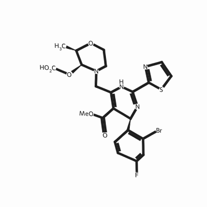 COC(=O)C1=C(CN2CCO[C@H](C)[C@@H]2OC(=O)O)NC(c2nccs2)=N[C@H]1c1ccc(F)cc1Br